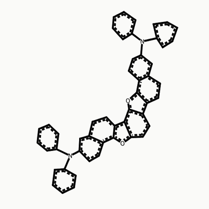 c1ccc(N(c2ccccc2)c2ccc3c(ccc4c5ccc6oc7c8ccc(N(c9ccccc9)c9ccccc9)cc8ccc7c6c5oc34)c2)cc1